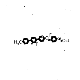 CCCCCCCCOc1ccc(COc2ccc(-c3ccc(-c4ccc(C)cc4)c(F)c3F)cc2)c(F)c1